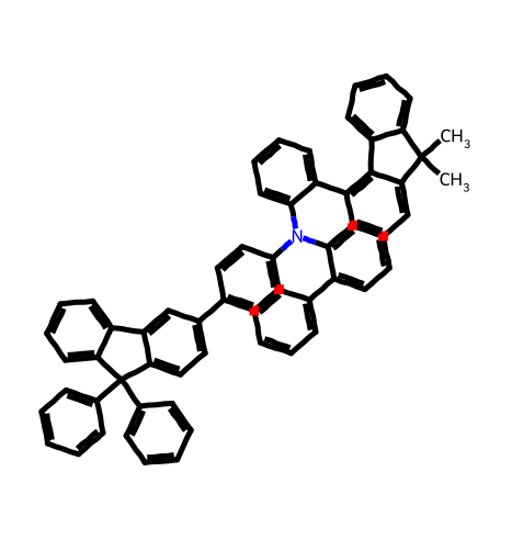 CC1(C)c2ccccc2-c2c(-c3ccccc3N(c3ccc(-c4ccc5c(c4)-c4ccccc4C5(c4ccccc4)c4ccccc4)cc3)c3ccccc3-c3ccccc3)cccc21